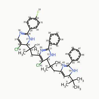 CC(C)(C)C1C=C(CC(C)(C)C2NC(c3ccccc3)=NC(CC(C)(C)C3NC(c4ccc(F)cc4)=NC=C3Cl)=C2Cl)N=C(c2ccccc2)N1